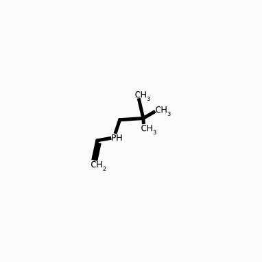 C=CPCC(C)(C)C